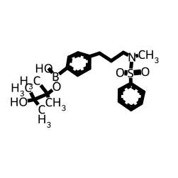 CN(CCCc1ccc(B(O)OC(C)(C)C(C)(C)O)cc1)S(=O)(=O)c1ccccc1